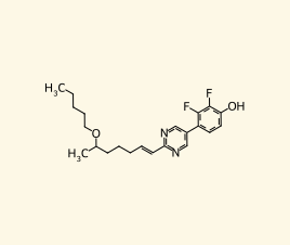 CCCCCOC(C)CCCC=Cc1ncc(-c2ccc(O)c(F)c2F)cn1